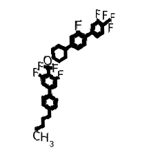 CCCCCc1ccc(-c2cc(F)c(C(F)(F)OC3CCC(c4ccc(-c5ccc(C(F)(F)F)c(F)c5)c(F)c4)CC3)c(F)c2)cc1